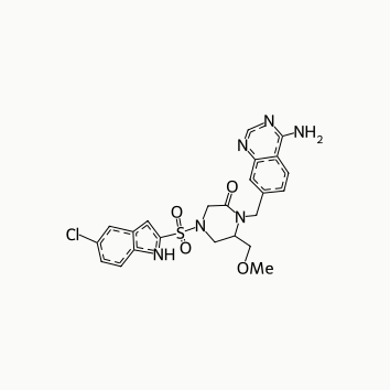 COCC1CN(S(=O)(=O)c2cc3cc(Cl)ccc3[nH]2)CC(=O)N1Cc1ccc2c(N)ncnc2c1